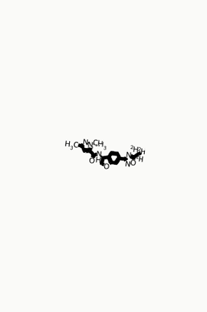 [2H]C([2H])([2H])c1nc(-c2ccc3c(c2)OC[C@H]3NC(=O)c2cc(C)nn2C)no1